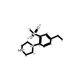 CCc1ccc(N2CCNCC2)c(S(C)(=O)=O)c1